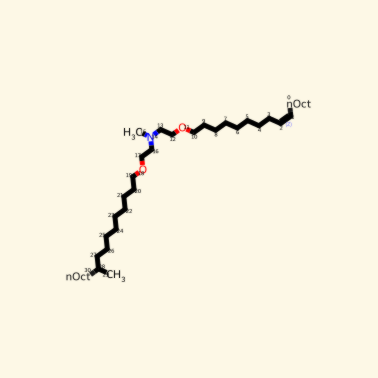 CCCCCCCC/C=C\CCCCCCCCOCCN(C)CCOCCCCCCCCCC(C)CCCCCCCC